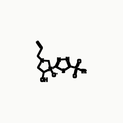 C=CCN1CC(O)[N+]([O-])(c2nnc(S(=O)(=O)CC)s2)C1